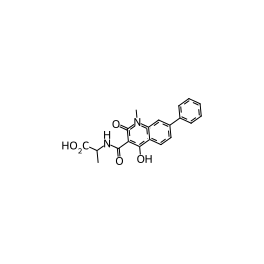 CC(NC(=O)c1c(O)c2ccc(-c3ccccc3)cc2n(C)c1=O)C(=O)O